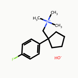 C[N+](C)(C)CC1(c2ccc(F)cc2)CCCC1.[OH-]